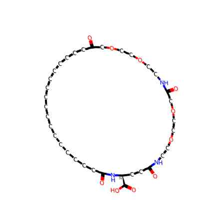 O=C1CCCCCCCCCCCCCCCCCC(=O)N[C@H](C(=O)O)CCC(=O)NCCOCCOCC(=O)NCCOCCOC1